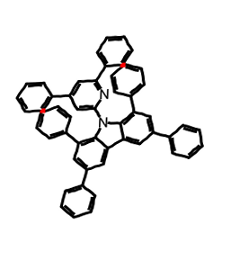 c1ccc(-c2cc(-c3ccccc3)nc(-n3c4c(-c5ccccc5)cc(-c5ccccc5)cc4c4cc(-c5ccccc5)cc(-c5ccccc5)c43)c2)cc1